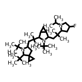 CC(C)N1CC(F)CC1C(C)(C)CC1C2CC2C(C(C)(C)CC2CC3(CC3)C(C(C)(C)C)N2C(C)(C)C)N1C(C)(C)C